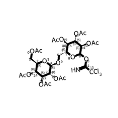 CC(=O)OC[C@H]1O[C@@H](OC[C@H]2OC(OC(=N)C(Cl)(Cl)Cl)[C@H](OC(C)=O)[C@@H](OC(C)=O)[C@@H]2OC(C)=O)[C@H](OC(C)=O)[C@@H](OC(C)=O)[C@@H]1OC(C)=O